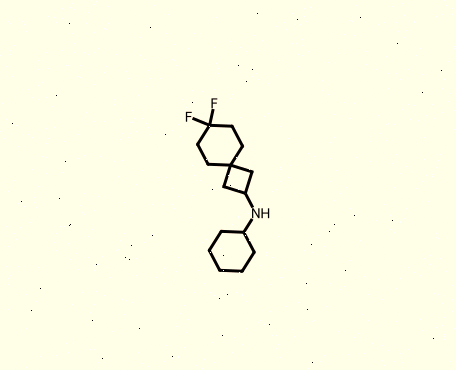 FC1(F)CCC2(CC1)CC(NC1CCCCC1)C2